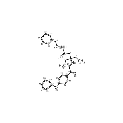 CCC(CC)(CC(=O)NOCc1ccccc1)N=NC(=O)c1ccc(Oc2ccccc2)cc1